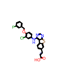 O=C(O)/C=C/c1ccc2c(c1)sc1ncnc(Nc3ccc(OCc4cccc(F)c4)c(Cl)c3)c12